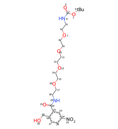 CC(C)(C)OC(=O)NCCOCCOCCOCCOCCNC(=O)c1cc([N+](=O)[O-])ccc1CO